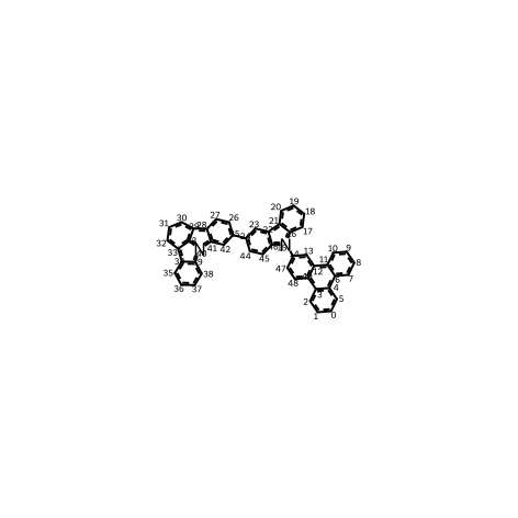 c1ccc2c(c1)c1ccccc1c1cc(-n3c4ccccc4c4cc(-c5ccc6c7cccc8c9ccccc9n(c6c5)c87)ccc43)ccc21